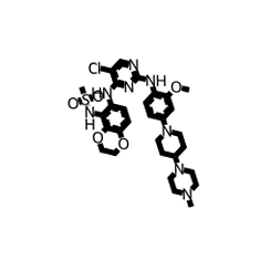 COc1cc(N2CCC(N3CCN(C)CC3)CC2)ccc1Nc1ncc(Cl)c(Nc2ccc3c(c2NS(C)(=O)=O)OCCO3)n1